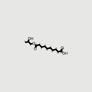 CC(O)COC(=O)CCCCCCCCC(=O)O